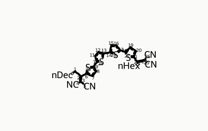 CCCCCCCCCCCC(=C(C#N)C#N)c1ccc(-c2ccc(-c3ccc(-c4ccc(C(CCCCCC)=C(C#N)C#N)s4)s3)s2)s1